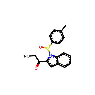 Cc1ccc([S+]([O-])n2c(C(=O)CC#N)cc3ccccc32)cc1